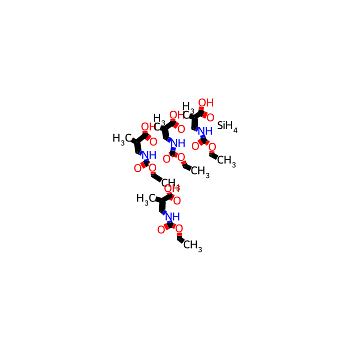 CCOC(=O)NC=C(C)C(=O)O.CCOC(=O)NC=C(C)C(=O)O.CCOC(=O)NC=C(C)C(=O)O.CCOC(=O)NC=C(C)C(=O)O.[SiH4]